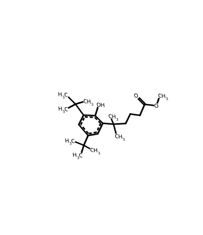 COC(=O)CCCC(C)(C)c1cc(C(C)(C)C)cc(C(C)(C)C)c1O